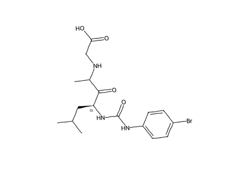 CC(C)C[C@H](NC(=O)Nc1ccc(Br)cc1)C(=O)C(C)NCC(=O)O